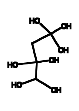 OC(O)C(O)(O)CC(O)(O)O